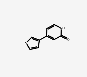 O=c1cc(-c2ccsc2)cc[nH]1